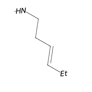 CCC=CCC[NH]